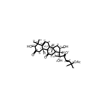 CC(=O)OC(C)(C)/C=C/C(=O)[C@@]1(O)C[C@]23CC(=O)[C@@]4(C)[C@@H]5CC(=O)[C@@H](O)C(C)(C)C5=CC[C@H]4[C@]2(C)C[C@@H](O)[C@@H]31